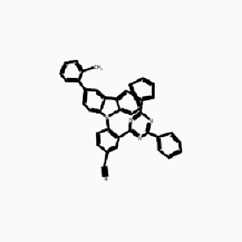 Cc1ccccc1-c1ccc2c(c1)c1ccccc1n2-c1ccc(C#N)cc1-c1nc(-c2ccccc2)nc(-c2ccccc2)n1